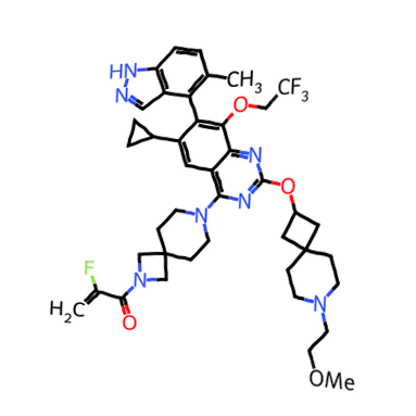 C=C(F)C(=O)N1CC2(CCN(c3nc(OC4CC5(CCN(CCOC)CC5)C4)nc4c(OCC(F)(F)F)c(-c5c(C)ccc6[nH]ncc56)c(C5CC5)cc34)CC2)C1